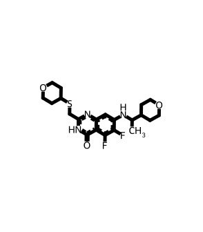 CC(Nc1cc2nc(CSC3CCOCC3)[nH]c(=O)c2c(F)c1F)C1CCOCC1